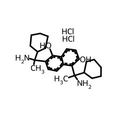 CC(N)(c1ccc2c(C(C)(N)C3CCCCC3)c(O)ccc2c1O)C1CCCCC1.Cl.Cl